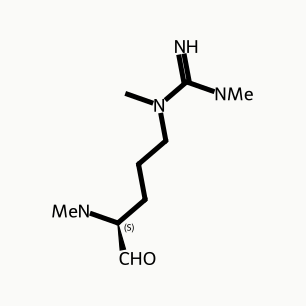 CNC(=N)N(C)CCC[C@@H](C=O)NC